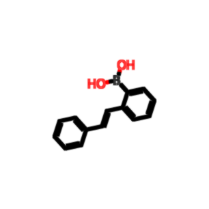 OB(O)c1ccccc1C=Cc1ccccc1